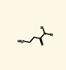 CCN(CC)C(=O)CCC(=O)O